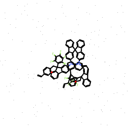 C=Cc1ccc(CC2(c3c(F)c(F)c(F)c(F)c3F)c3ccccc3-c3ccc(N(c4ccccc4)c4ccc5c(c4)C4(c6ccccc6-5)c5ccccc5-c5ccc(N6c7cccc(c7)-c7c(F)c(F)c(F)c(c7F)C7(Cc8ccc(C=C)cc8)c8ccccc8-c8ccc6cc87)cc54)cc32)cc1